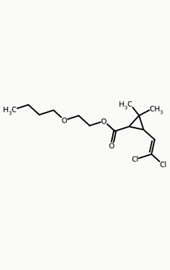 CCCCOCCOC(=O)C1C(C=C(Cl)Cl)C1(C)C